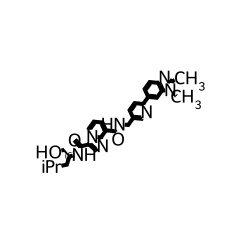 Cc1nc2ccc(-c3ccc(CNC(=O)c4cccn5c(C(=O)N[C@H](CO)CC(C)C)cnc45)cn3)cc2n1C